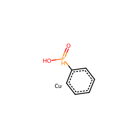 O=[PH](O)c1ccccc1.[Cu]